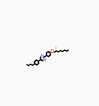 CCCCCCC(F)COc1ccc(-c2ncc(-c3ccc(CCCC)cc3)cn2)cc1